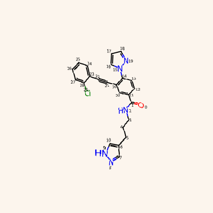 O=C(NCCCc1cn[nH]c1)c1ccc(-n2cccn2)c(C#Cc2ccccc2Cl)c1